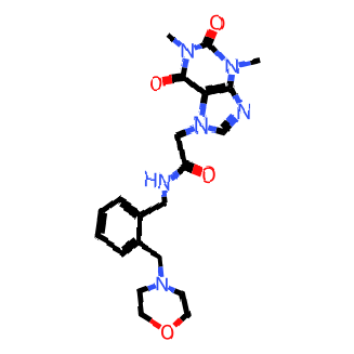 Cn1c(=O)c2c(ncn2CC(=O)NCc2ccccc2CN2CCOCC2)n(C)c1=O